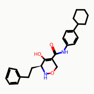 O=C(Nc1ccc(C2CCCCC2)cc1)C1=C(O)[C@H](CCc2ccccc2)NOC1